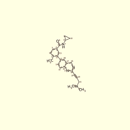 Cc1ccc(C(=O)NC2CC2)cc1-c1ccc2nc(C#CCN(C)C)ncc2c1